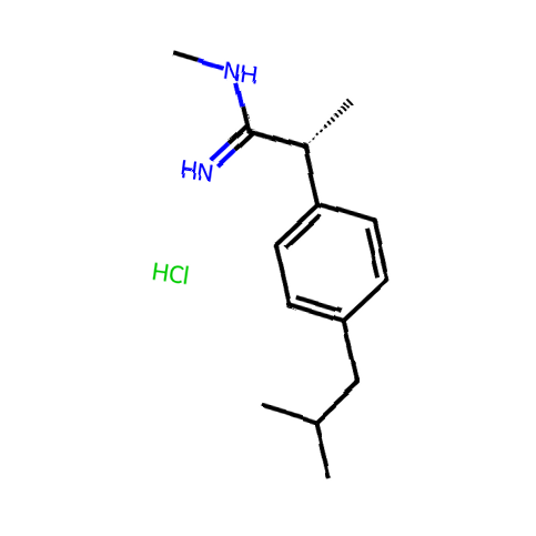 CNC(=N)[C@H](C)c1ccc(CC(C)C)cc1.Cl